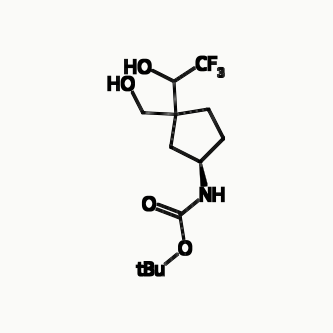 CC(C)(C)OC(=O)N[C@@H]1CCC(CO)(C(O)C(F)(F)F)C1